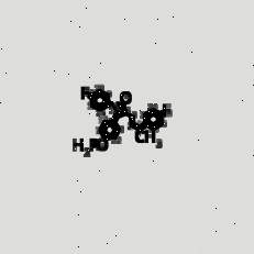 C[C@@H](CC[C@@H]1C(=O)N(c2ccc(F)cc2)C1c1ccc(OP)cc1)c1ccc(F)cc1